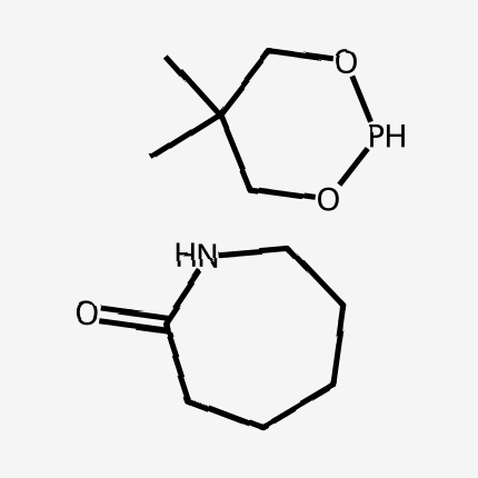 CC1(C)COPOC1.O=C1CCCCCN1